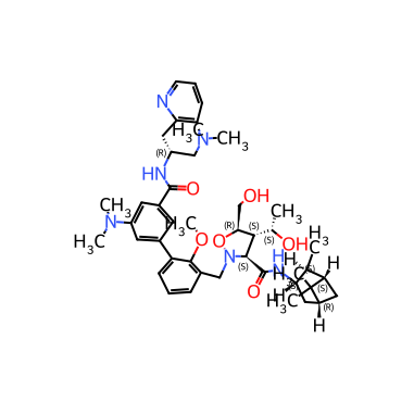 COc1c(CN2O[C@@H](CO)[C@H]([C@H](C)O)[C@H]2C(=O)N[C@H]2C[C@H]3C[C@@H]([C@@H]2C)C3(C)C)cccc1-c1cc(C(=O)N[C@H](Cc2ccccn2)CN(C)C)cc(N(C)C)c1